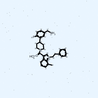 Cc1cccc2c(C(=O)N3CCC(c4cc(CN)ccc4F)CC3)cn(CCc3ccccc3)c12.Cl